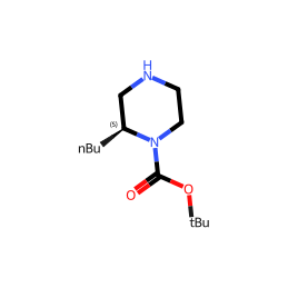 CCCC[C@H]1CNCCN1C(=O)OC(C)(C)C